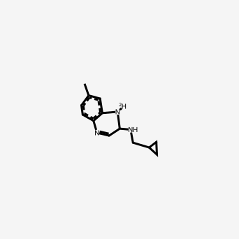 [2H]N1c2cc(C)ccc2N=CC1NCC1CC1